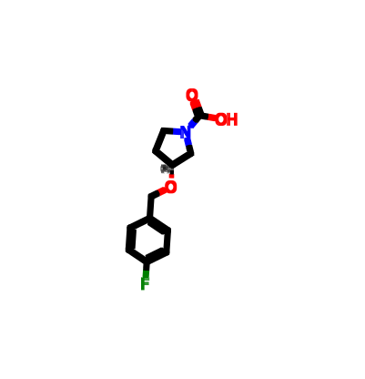 O=C(O)N1CC[C@@H](OCc2ccc(F)cc2)C1